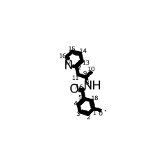 [CH2]c1cccc(C(=O)NC(C)Cc2ccccn2)c1